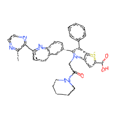 Cc1nccnc1-c1ccc2cc(-c3c(-c4ccccc4)c4sc(C(=O)O)cc4n3CC(=O)N3CCCCC3)ccc2n1